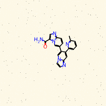 Cc1cccc(-c2cc3nccn3cc2-c2ccc3ncc(C(N)=O)n3c2)n1